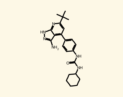 CC(C)(C)c1cc(-c2ccc(NC(=O)NC3CCCCC3)cc2)c2c(N)n[nH]c2n1